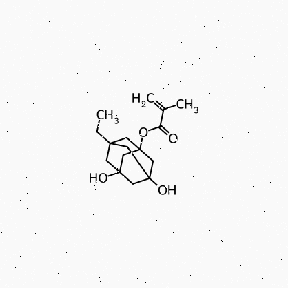 C=C(C)C(=O)OC12CC3(O)CC(O)(CC(CC)(C3)C1)C2